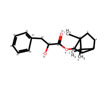 CC1(C)C2CCC1(C)C(OC(=O)C([O])Cc1ccccc1)C2